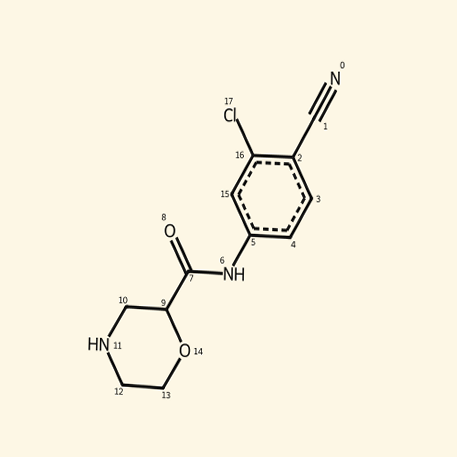 N#Cc1ccc(NC(=O)C2CNCCO2)cc1Cl